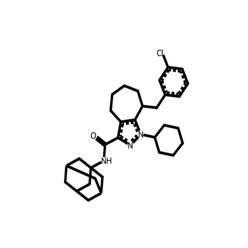 O=C(NC12CC3CC(CC(C3)C1)C2)c1nn(C2CCCCC2)c2c1CCCCC2Cc1cccc(Cl)c1